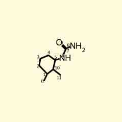 CC1CCCC(NC(N)=O)C1C